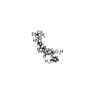 CCC(C)(C)OC(=O)Nc1nc(C(=O)C(=O)NC2C(=O)N3CC(CSc4nnnn4C)(C(=O)O)CS[C@H]23)cs1